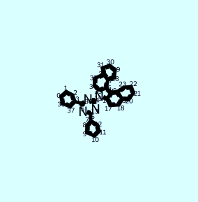 c1ccc(-c2nc(-c3ccccc3)nc(-n3c4ccc5ccccc5c4c4c5ccccc5ccc43)n2)cc1